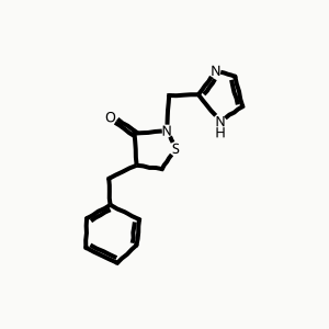 O=C1C(Cc2ccccc2)CSN1Cc1ncc[nH]1